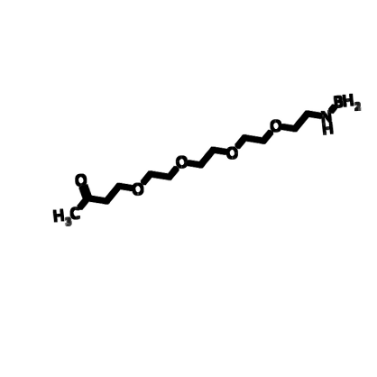 BNCCOCCOCCOCCOCCC(C)=O